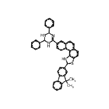 CC1(C)c2ccccc2-c2ccc(C3Nc4c(ccc5ccc6cc(C7=NC(c8ccccc8)NC(c8ccccc8)N7)ccc6c45)S3)cc21